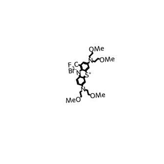 COCCN(CCOC)c1ccc2nc3c(C(F)(F)F)cc(N(CCOC)CCOC)cc3[s+]c2c1.[Br-]